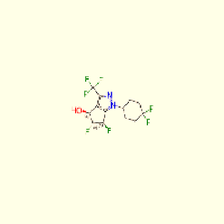 O[C@H]1c2c(C(F)(F)F)nn(C3CCC(F)(F)CC3)c2[C@@H](F)[C@@H]1F